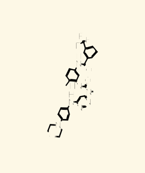 Cc1ccc(NC(=O)c2cccc(C(F)(F)F)c2)cc1NC(=O)N(C)c1cc(Nc2ccc(N3CCOCC3)cc2)ncn1